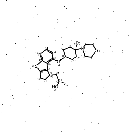 CC[C@]1(N2CCOCC2)CC[C@H](Oc2ccnc3sc4c(c23)[C@@H](C[C@H](C)O)CC4)CC1